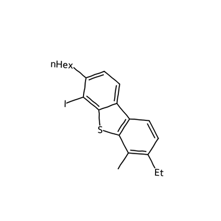 CCCCCCc1ccc2c(sc3c(C)c(CC)ccc32)c1I